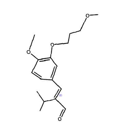 COCCCOc1cc(/C=C(/C=O)C(C)C)ccc1OC